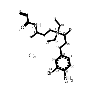 C=CC(=O)NC(C)CC[N+](CC)(CC)C(C)CCc1ccc(N)c(Br)c1.[Cl-]